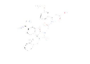 COc1cccc(C(CC(=O)O)NC(=O)CN2C(=O)N(Cc3ccccc3)C(C)(c3ccc(C(=N)N)cc3)C2=O)c1